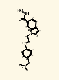 CN(C)Cc1ccc(OCCn2ccc3ccc(C(=O)NO)cc32)cc1